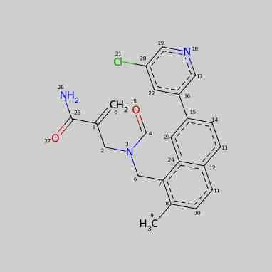 C=C(CN(C=O)Cc1c(C)ccc2ccc(-c3cncc(Cl)c3)cc12)C(N)=O